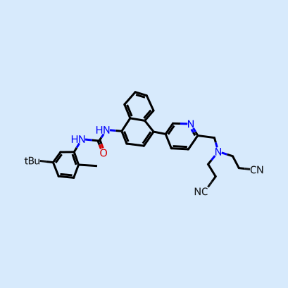 Cc1ccc(C(C)(C)C)cc1NC(=O)Nc1ccc(-c2ccc(CN(CCC#N)CCC#N)nc2)c2ccccc12